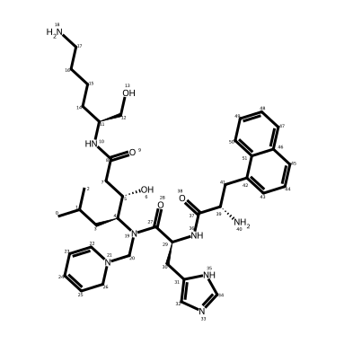 CC(C)C[C@@H]([C@@H](O)CC(=O)N[C@H](CO)CCCCN)N(CN1C=CC=CC1)C(=O)[C@H](Cc1cnc[nH]1)NC(=O)[C@@H](N)Cc1cccc2ccccc12